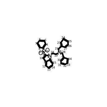 O=S(=O)(c1ccccc1)c1cc2ccccc2n1CCN(Cc1ccccc1)Cc1ccccc1